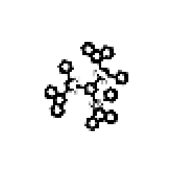 c1ccc(-c2cc(-c3cc4ccccc4c4ccccc34)nc(-c3cc(-c4nc(-c5ccccc5)cc(-c5cc6ccccc6c6ccccc56)n4)cc(-c4nc5c6ccccc6c6ccccc6c5n4-c4ccccc4)c3)n2)cc1